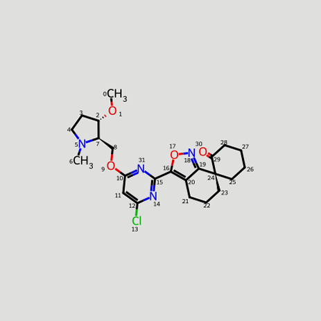 CO[C@H]1CCN(C)[C@@H]1COc1cc(Cl)nc(-c2onc3c2CCC[C@@]32CCCCC2=O)n1